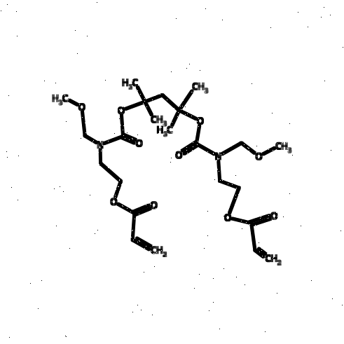 C=CC(=O)OCCN(COC)C(=O)OC(C)(C)CC(C)(C)OC(=O)N(CCOC(=O)C=C)COC